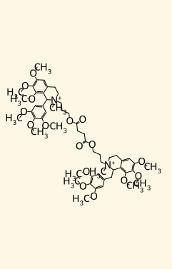 COc1cc(CC2c3c(cc(OC)c(OC)c3OC)CC[N+]2(C)CCCOC(=O)CCC(=O)OCCC[N+]2(C)CCc3cc(OC)c(OC)c(OC)c3C2c2cc(OC)c(OC)c(OC)c2)cc(OC)c1OC